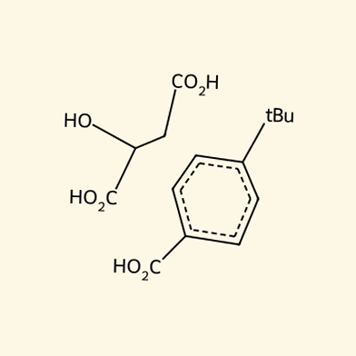 CC(C)(C)c1ccc(C(=O)O)cc1.O=C(O)CC(O)C(=O)O